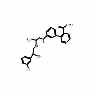 COC(=O)c1ccncc1-c1cccc(NCC(C)NCC(O)c2cccc(Cl)c2)c1